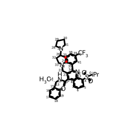 CC(C)S(=O)(=O)c1cccc2c(C(=O)N[C@@H](C)c3ccccc3)c(CN3CCC(N4CCCC4)CC3)c(-c3cccc(C(F)(F)F)c3)nc12